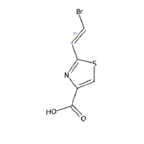 O=C(O)c1csc(/C=C/Br)n1